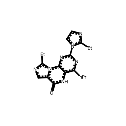 CCCc1nc(-n2ccnc2CC)nc2c1[nH]c(=O)c1cnc(CC)n12